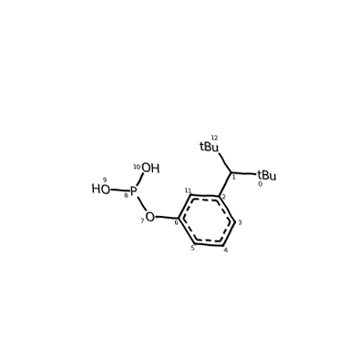 CC(C)(C)C(c1cccc(OP(O)O)c1)C(C)(C)C